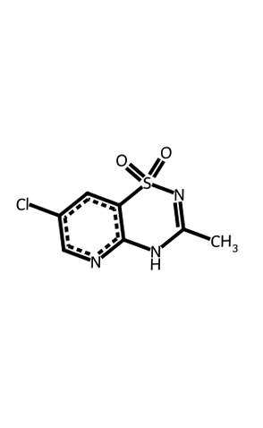 CC1=NS(=O)(=O)c2cc(Cl)cnc2N1